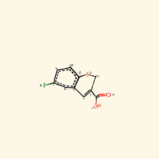 O=C(O)C1=Cc2cc(F)ccc2SC1